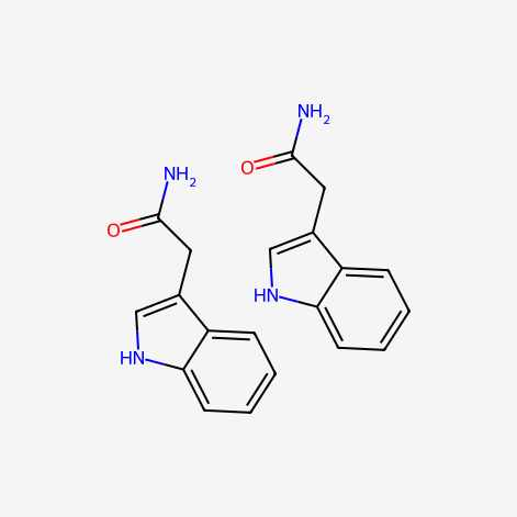 NC(=O)Cc1c[nH]c2ccccc12.NC(=O)Cc1c[nH]c2ccccc12